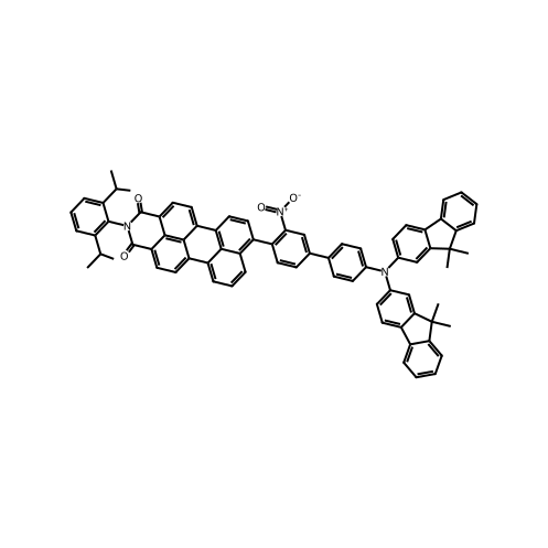 CC(C)c1cccc(C(C)C)c1N1C(=O)c2ccc3c4cccc5c(-c6ccc(-c7ccc(N(c8ccc9c(c8)C(C)(C)c8ccccc8-9)c8ccc9c(c8)C(C)(C)c8ccccc8-9)cc7)cc6[N+](=O)[O-])ccc(c6ccc(c2c36)C1=O)c54